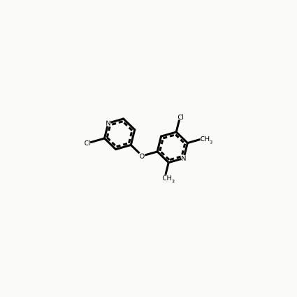 Cc1nc(C)c(Oc2ccnc(Cl)c2)cc1Cl